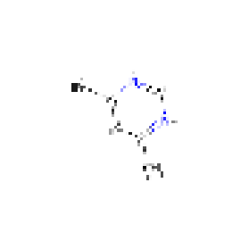 Cc1cc(C(C)C)ncn1